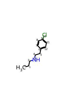 CCCNCCc1ccc(Cl)cc1